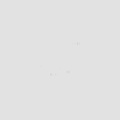 CC1(C)CC(CCS(=O)(=O)O)=C2C=COC=C21